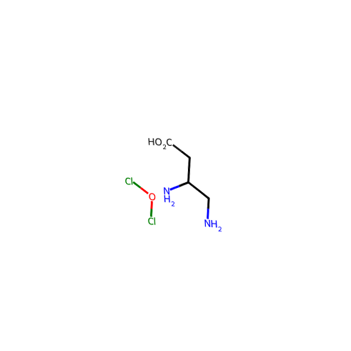 ClOCl.NCC(N)CC(=O)O